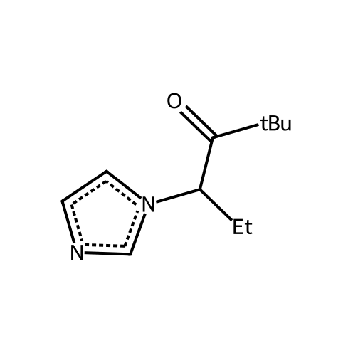 CCC(C(=O)C(C)(C)C)n1ccnc1